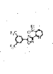 CC[S+]([O-])c1cccnc1-c1noc(-c2cc(C(F)(F)F)cc(C(F)(F)F)c2)n1